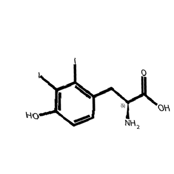 N[C@@H](Cc1ccc(O)c(I)c1I)C(=O)O